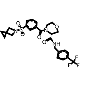 O=C(NCc1ccc(C(F)(F)F)cc1)[C@H]1COCCN1C(=O)c1cccc(S(=O)(=O)N2CC3(CC3)C2)c1